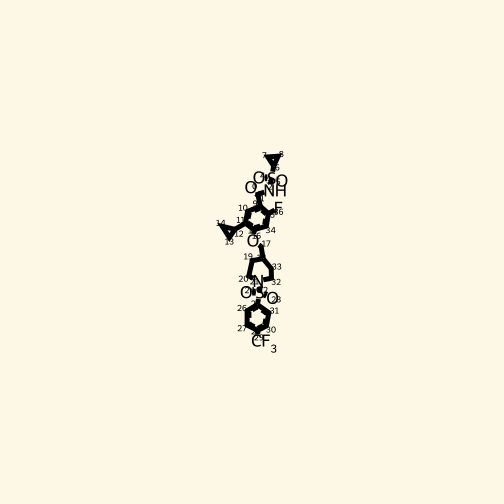 O=C(NS(=O)(=O)C1CC1)c1cc(C2CC2)c(OCC2CCN(S(=O)(=O)c3ccc(C(F)(F)F)cc3)CC2)cc1F